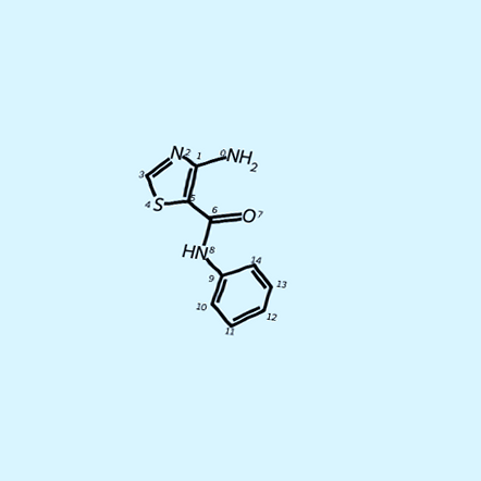 Nc1ncsc1C(=O)Nc1ccccc1